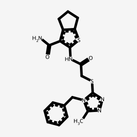 Cc1nnc(SCC(=O)Nc2sc3c(c2C(N)=O)CCC3)n1Cc1ccccc1